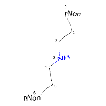 CCCCCCCCCCCNCCCCCCCCCCC